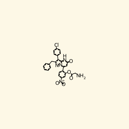 NCC(=O)Oc1cc([N+](=O)[O-])ccc1-c1cc(=O)[nH]c2c(-c3ccc(Cl)cc3)c(Cc3ccccc3)nn12